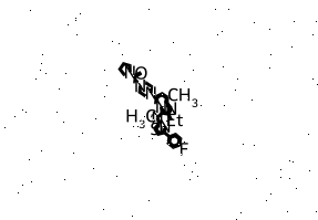 CCc1nc2c(C)cc(N3CCN(CC(=O)N4CCCC4)CC3)cn2c1N(C)c1nc(-c2ccc(F)cc2)cs1